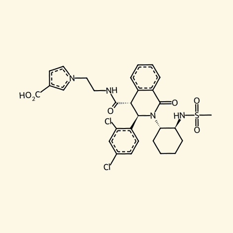 CS(=O)(=O)N[C@H]1CCCC[C@@H]1N1C(=O)c2ccccc2[C@@H](C(=O)NCCn2ccc(C(=O)O)c2)[C@@H]1c1ccc(Cl)cc1Cl